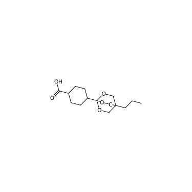 CCCC12COC(C3CCC(C(=O)O)CC3)(OC1)OC2